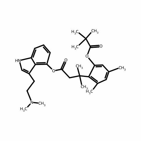 Cc1cc(C)c(C(C)(C)CC(=O)Oc2cccc3[nH]cc(CCN(C)C)c23)c(OC(=O)C(C)(C)C)c1